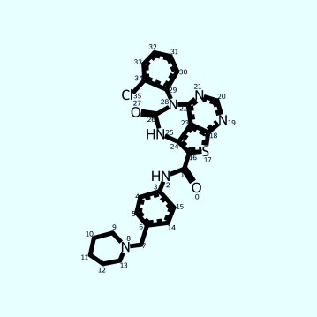 O=C(Nc1ccc(CN2CCCCC2)cc1)c1sc2ncnc3c2c1NC(=O)N3c1ccccc1Cl